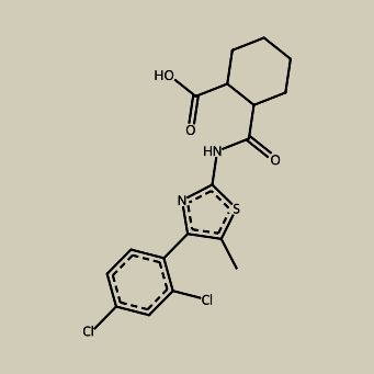 Cc1sc(NC(=O)C2CCCCC2C(=O)O)nc1-c1ccc(Cl)cc1Cl